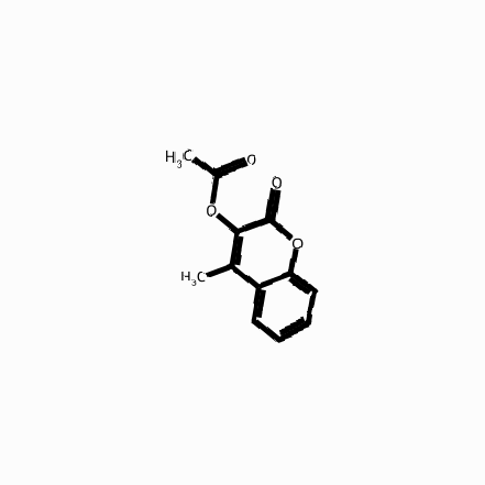 CC(=O)Oc1c(C)c2ccccc2oc1=O